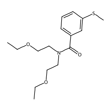 CCOCCN(CCOCC)C(=O)c1cccc(SC)c1